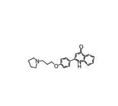 O=c1cc(-c2ccc(OCCCN3CCCC3)cc2)[nH]c2ccccc12